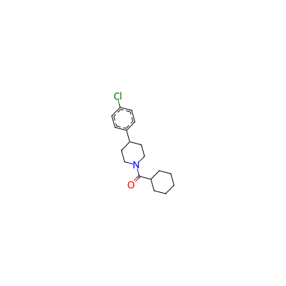 O=C(C1CCCCC1)N1CCC(c2ccc(Cl)cc2)CC1